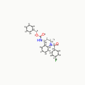 C[C@H]1C[C@@H](NC(=O)OCc2ccccc2)c2ccccc2N1C(=O)c1ccc(F)cc1